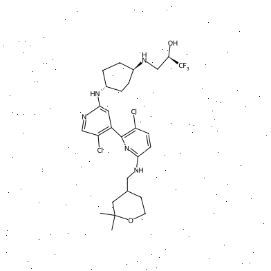 CC1(C)CC(CNc2ccc(Cl)c(-c3cc(N[C@H]4CC[C@H](NC[C@@H](O)C(F)(F)F)CC4)ncc3Cl)n2)CCO1